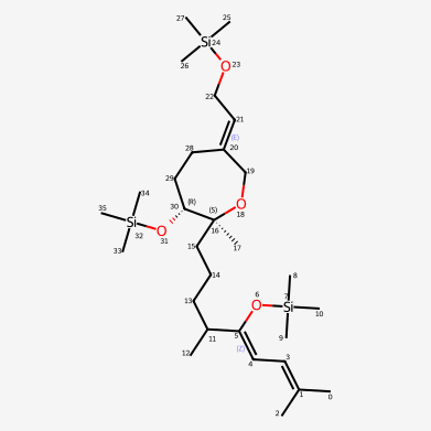 CC(C)=C/C=C(\O[Si](C)(C)C)C(C)CCC[C@]1(C)OC/C(=C/CO[Si](C)(C)C)CC[C@H]1O[Si](C)(C)C